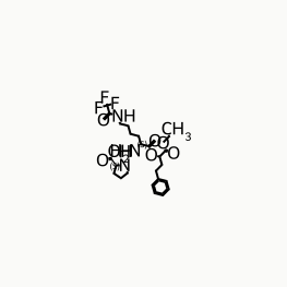 CCOC(=O)C(CCc1ccccc1)OC(=O)[C@@H](N)CCCCNC(=O)C(F)(F)F.O=C(O)[C@@H]1CCCN1